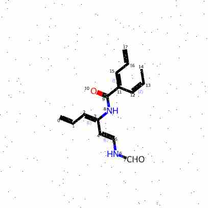 C=C/C=C(\C=C\NC=O)NC(=O)C(/C=C\C)=C/C=C